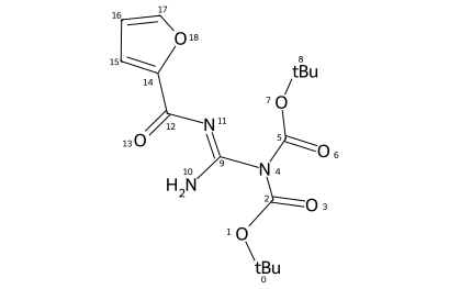 CC(C)(C)OC(=O)N(C(=O)OC(C)(C)C)C(N)=NC(=O)c1ccco1